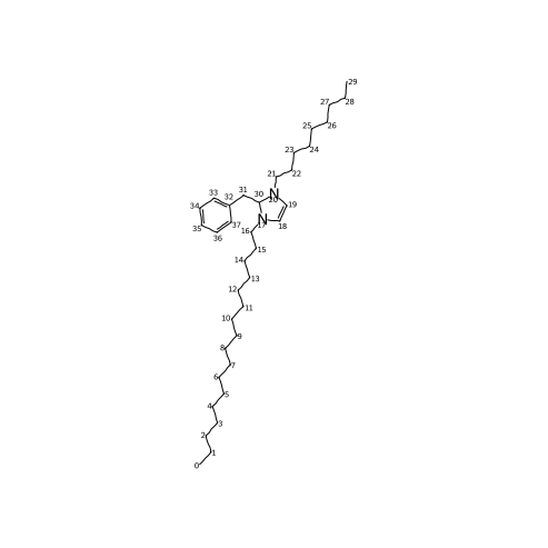 CCCCCCCCCCCCCCCCCN1C=CN(CCCCCCCCC)C1Cc1ccccc1